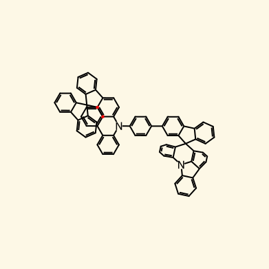 c1ccc(-c2ccccc2N(c2ccc(-c3ccc4c(c3)C3(c5ccccc5-4)c4ccccc4-n4c5ccccc5c5cccc3c54)cc2)c2ccc3c(c2)C2(c4ccccc4-c4ccccc42)c2ccccc2-3)cc1